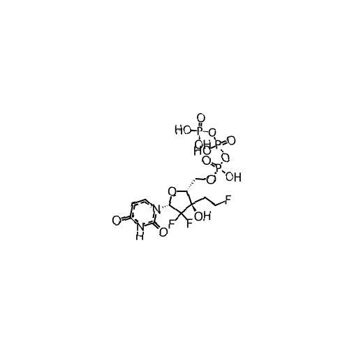 O=c1ccn([C@@H]2O[C@H](COP(=O)(O)OP(=O)(O)OP(=O)(O)O)[C@](O)(CCF)C2(F)F)c(=O)[nH]1